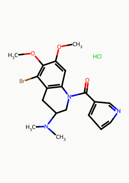 COc1cc2c(c(Br)c1OC)CC(N(C)C)CN2C(=O)c1cccnc1.Cl